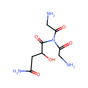 NCC(=O)N(C(=O)CN)C(=O)C(O)CC(N)=O